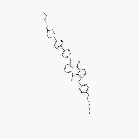 CCCCCCc1ccc(Sc2cccc3c2C(=O)c2cccc(Oc4ccc(-c5ccc(C6CCC(CCCCC)CC6)cc5)cc4)c2C3=O)cc1